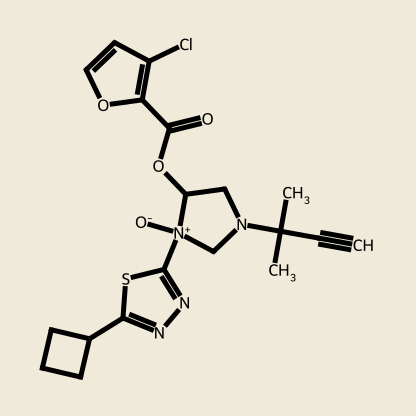 C#CC(C)(C)N1CC(OC(=O)c2occc2Cl)[N+]([O-])(c2nnc(C3CCC3)s2)C1